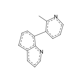 Cc1ncccc1-c1cccc2cccnc12